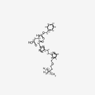 C[Si](C)(C)CCOCn1ccnc1CCc1nnn(CC(=O)C(CC(=O)O)NC(=O)OCc2ccccc2)n1